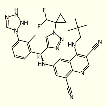 Cc1c([C@H](Nc2cc(C#N)c3ncc(C#N)c(NCC(C)(C)C)c3c2)c2cn(C3(C(F)F)CC3)nn2)cccc1N1C=NNN1